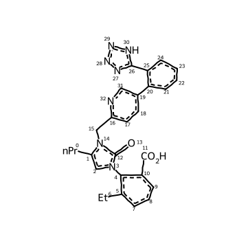 CCCc1cn(-c2c(CC)cccc2C(=O)O)c(=O)n1Cc1ccc(-c2ccccc2-c2nnn[nH]2)cn1